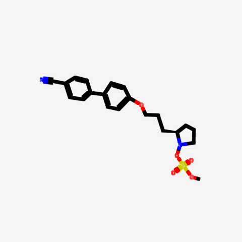 COS(=O)(=O)ON1CCC[C@@H]1CCCOc1ccc(-c2ccc(C#N)cc2)cc1